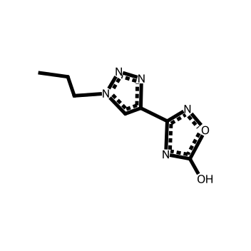 CCCn1cc(-c2noc(O)n2)nn1